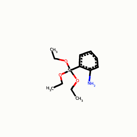 CCO[Si](OCC)(OCC)c1ccccc1N